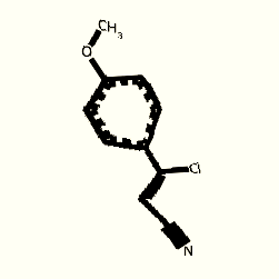 COc1ccc(C(Cl)=CC#N)cc1